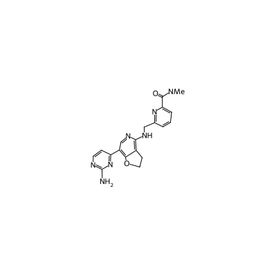 CNC(=O)c1cccc(CNc2ncc(-c3ccnc(N)n3)c3c2CCO3)n1